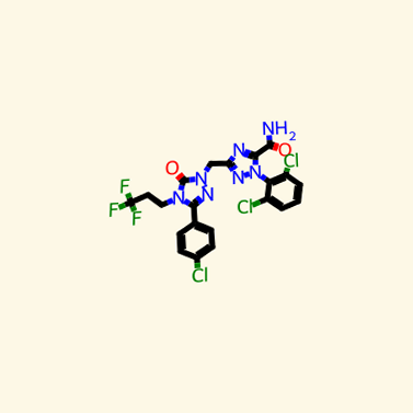 NC(=O)c1nc(Cn2nc(-c3ccc(Cl)cc3)n(CCC(F)(F)F)c2=O)nn1-c1c(Cl)cccc1Cl